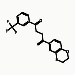 C=C(CCC(=O)c1cccc(C(F)(F)F)c1)c1ccc2c(c1)SCCO2